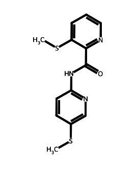 CSc1ccc(NC(=O)c2ncccc2SC)nc1